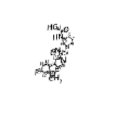 C#CC(=O)N[C@@H]1CCC[C@H](CN(N=O)c2cc(-c3ccc(F)cc3OC)c(F)cn2)C1